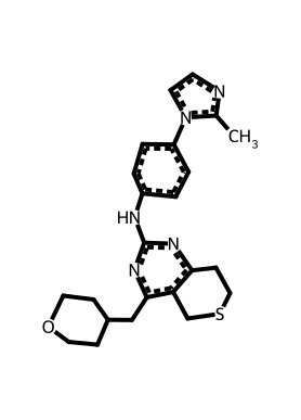 Cc1nccn1-c1ccc(Nc2nc3c(c(CC4CCOCC4)n2)CSCC3)cc1